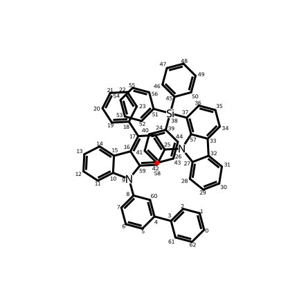 c1ccc(-c2cccc(-n3c4ccccc4c4c(-c5ccccc5)cc(-n5c6ccccc6c6cccc([Si](c7ccccc7)(c7ccccc7)c7ccccc7)c65)cc43)c2)cc1